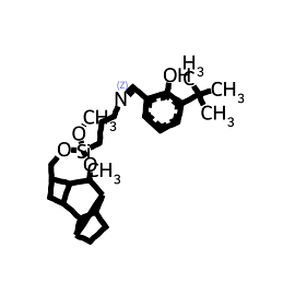 CO[Si]1(CCC/N=C\c2cccc(C(C)(C)C)c2O)OCC2CC3C4C5CCC4C5C(C)(O1)C23